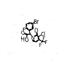 O=C(O)C(c1cc(Br)ccc1F)n1ccc(C(F)(F)F)c(Cl)c1=O